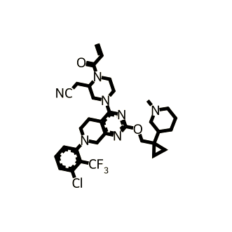 C=CC(=O)N1CCN(c2nc(OCC3(C4CCCN(C)C4)CC3)nc3c2CCN(c2cccc(Cl)c2C(F)(F)F)C3)CC1CC#N